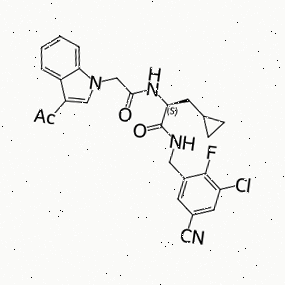 CC(=O)c1cn(CC(=O)N[C@@H](CC2CC2)C(=O)NCc2cc(C#N)cc(Cl)c2F)c2ccccc12